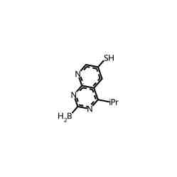 Bc1nc(C(C)C)c2cc(S)cnc2n1